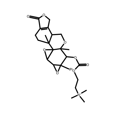 CC(C)C12OC1C1OC13C1(C)CCC4=C(COC4=O)C1COC3(C)C2OC(=O)OCC[N+](C)(C)C